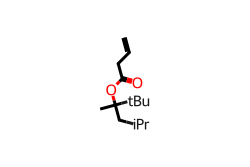 C=CCC(=O)OC(C)(CC(C)C)C(C)(C)C